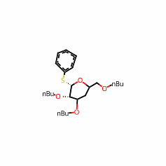 CCCCOCC1CC(OCCCC)[C@H](OCCCC)[C@H](Sc2ccccc2)O1